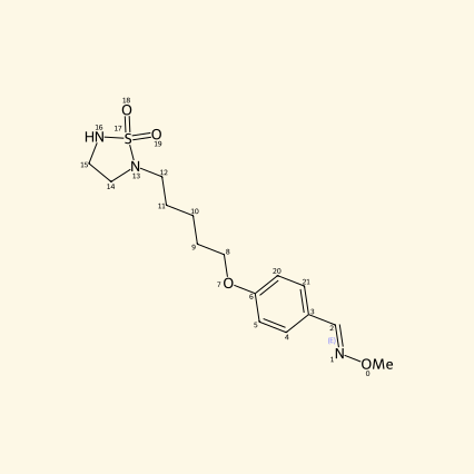 CO/N=C/c1ccc(OCCCCCN2CCNS2(=O)=O)cc1